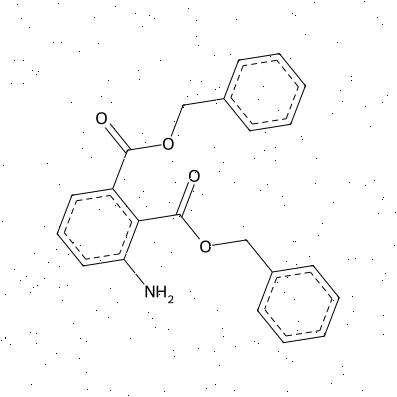 Nc1cccc(C(=O)OCc2ccccc2)c1C(=O)OCc1ccccc1